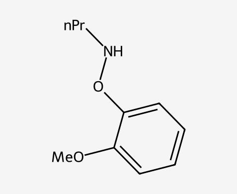 CCCNOc1ccccc1OC